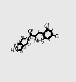 N[C@H](Cc1ccc(Cl)cc1Cl)C(=O)N1Cc2c[nH]nc2C1